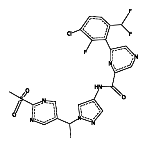 CC(c1cnc(S(C)(=O)=O)nc1)n1cc(NC(=O)c2cncc(-c3c(C(F)F)ccc(Cl)c3F)n2)cn1